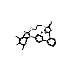 CCCOc1nc2c(C)c(C)c(C)nc2n1-c1ccc(-c2ccccc2-c2nc(=S)o[nH]2)cc1